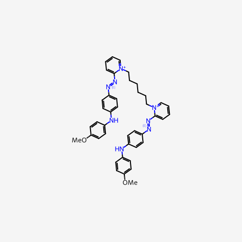 COc1ccc(Nc2ccc(/N=N/c3cccc[n+]3CCCCCC[n+]3ccccc3/N=N/c3ccc(Nc4ccc(OC)cc4)cc3)cc2)cc1